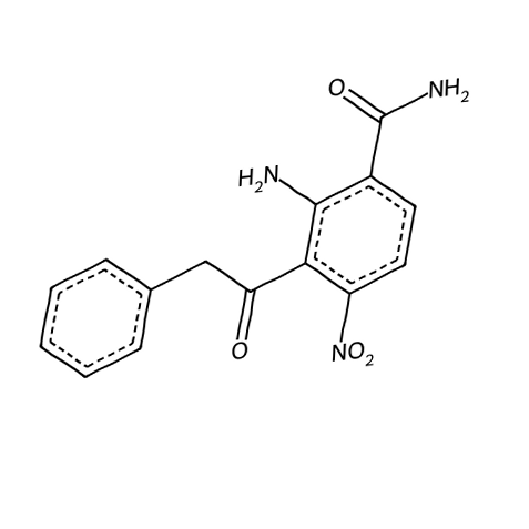 NC(=O)c1ccc([N+](=O)[O-])c(C(=O)Cc2ccccc2)c1N